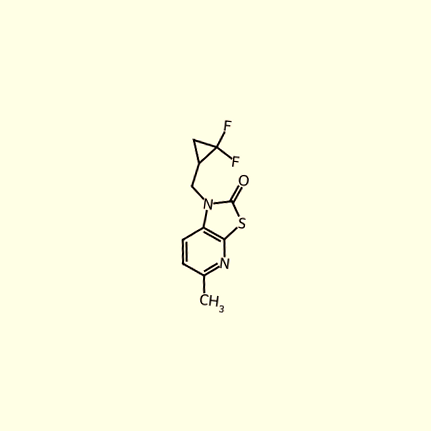 Cc1ccc2c(n1)sc(=O)n2CC1CC1(F)F